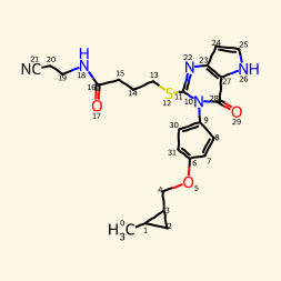 CC1CC1COc1ccc(-n2c(SCCCC(=O)NCCC#N)nc3cc[nH]c3c2=O)cc1